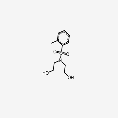 Cc1ccccc1S(=O)(=O)N(CCO)CCO